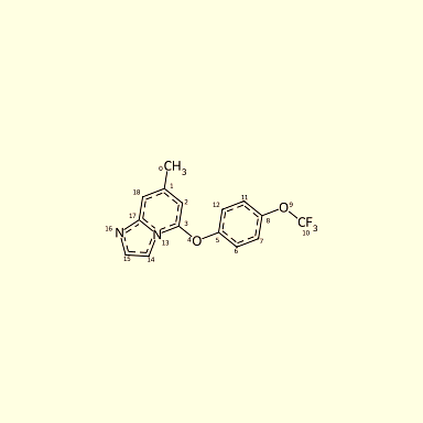 Cc1cc(Oc2ccc(OC(F)(F)F)cc2)n2ccnc2c1